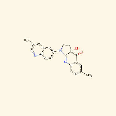 Cc1ccc2c(c1)C(=O)[C@]1(O)CCN(c3ccc4ncc(C)cc4c3)C1=N2